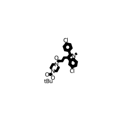 Cn1c(-c2ccc(Cl)cc2)c(CCC(=O)N2CCN(C(=O)OC(C)(C)C)CC2)c2cc(Cl)ccc21